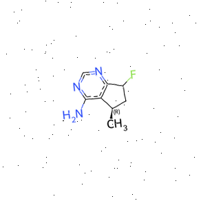 C[C@@H]1CC(F)c2ncnc(N)c21